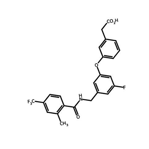 Cc1cc(C(F)(F)F)ccc1C(=O)NCc1cc(F)cc(Oc2cccc(CC(=O)O)c2)c1